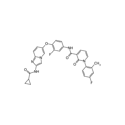 Cc1cc(F)ccc1-n1cccc(C(=O)Nc2ccc(Oc3ccc4nc(NC(=O)C5CC5)cn4c3)c(F)c2)c1=O